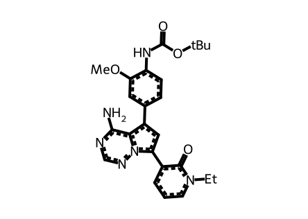 CCn1cccc(-c2cc(-c3ccc(NC(=O)OC(C)(C)C)c(OC)c3)c3c(N)ncnn23)c1=O